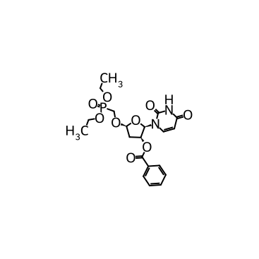 CCOP(=O)(CO[C@@H]1C[C@H](OC(=O)c2ccccc2)[C@H](n2ccc(=O)[nH]c2=O)O1)OCC